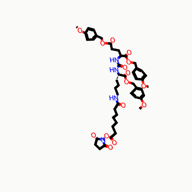 COc1ccc(COC(=O)CCC(NC(=O)N[C@@H](CCCCNC(=O)CCCCCCC(=O)ON2C(=O)CCC2=O)C(=O)OCc2ccc(OC)cc2)C(=O)OCc2ccc(OC)cc2)cc1